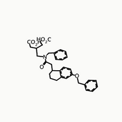 O=C(O)CC(CC(=O)O)CN(Cc1ccccc1)C(=O)CC1CCCc2cc(OCc3ccccc3)ccc21